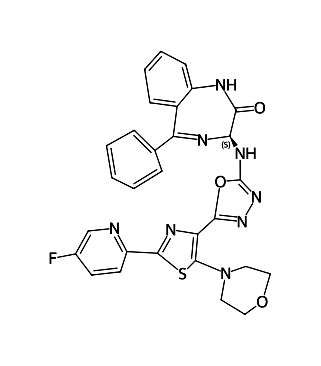 O=C1Nc2ccccc2C(c2ccccc2)=N[C@@H]1Nc1nnc(-c2nc(-c3ccc(F)cn3)sc2N2CCOCC2)o1